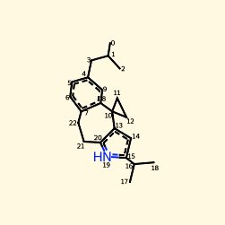 CC(C)Cc1ccc2c(c1)C1(CC1)c1cc(C(C)C)[nH]c1CC2